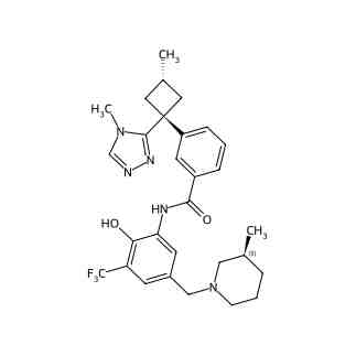 C[C@H]1CCCN(Cc2cc(NC(=O)c3cccc([C@]4(c5nncn5C)C[C@@H](C)C4)c3)c(O)c(C(F)(F)F)c2)C1